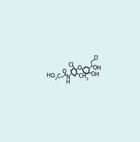 Cc1cc(NC(=O)CC(=O)O)cc(Cl)c1Oc1ccc(O)c(C(O)CC2CCC2)c1